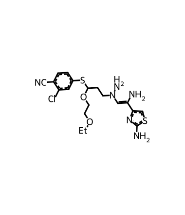 CCOCCOC(CCN(N)/C=C(\N)c1csc(N)n1)Sc1ccc(C#N)c(Cl)c1